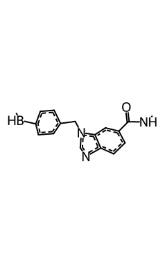 CBc1ccc(Cn2cnc3ccc(C(=O)NC)cc32)cc1